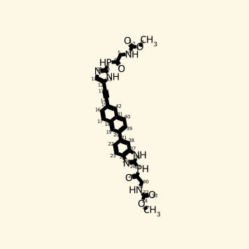 COC(=O)NCC(=O)Pc1ncc(C#Cc2ccc3cc(-c4ccc5nc(PC(=O)CNC(=O)OC)[nH]c5c4)ccc3c2)[nH]1